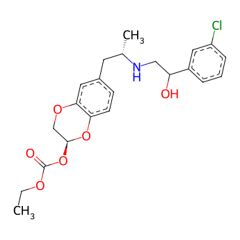 CCOC(=O)O[C@H]1COc2cc(C[C@H](C)NCC(O)c3cccc(Cl)c3)ccc2O1